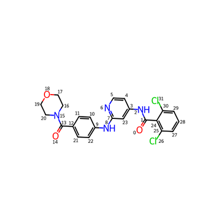 O=C(Nc1ccnc(Nc2ccc(C(=O)N3CCOCC3)cc2)c1)c1c(Cl)cccc1Cl